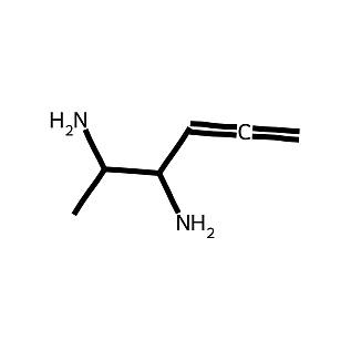 C=C=CC(N)C(C)N